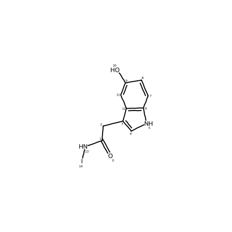 O=C(Cc1c[nH]c2ccc(O)cc12)NI